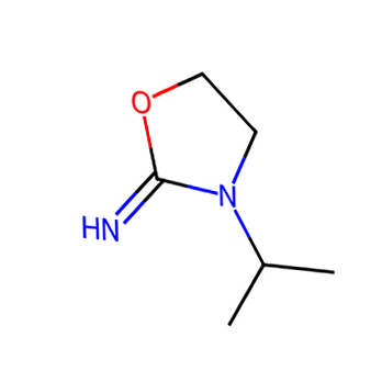 CC(C)N1CCOC1=N